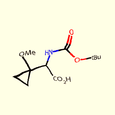 COC1(C(NC(=O)OC(C)(C)C)C(=O)O)CC1